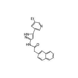 CCc1cncc(-c2cc(NC(=O)Cc3ccc4ccccc4c3)n[nH]2)c1